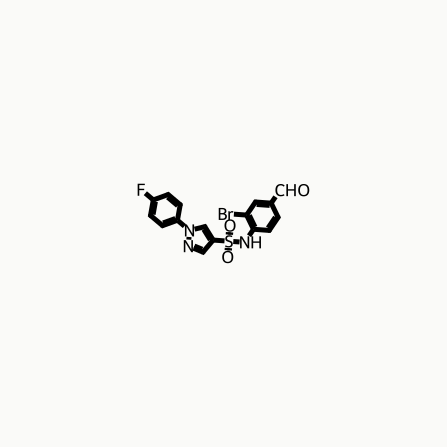 O=Cc1ccc(NS(=O)(=O)c2cnn(-c3ccc(F)cc3)c2)c(Br)c1